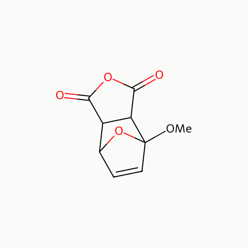 COC12C=CC(O1)C1C(=O)OC(=O)C12